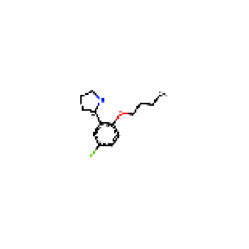 CCCCOc1ccc(F)cc1[C@H]1CCCN1